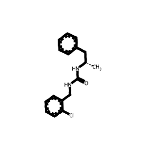 C[C@@H](Cc1ccccc1)NC(=O)NCc1ccccc1Cl